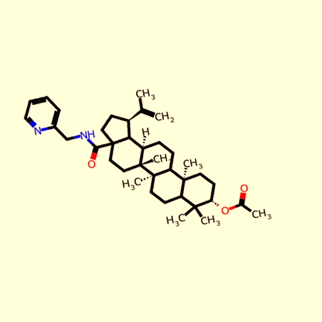 C=C(C)[C@@H]1CCC2(C(=O)NCc3ccccn3)CC[C@]3(C)[C@H](CCC4[C@@]5(C)CC[C@H](OC(C)=O)C(C)(C)C5CC[C@]43C)C12